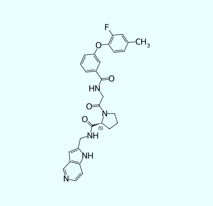 Cc1ccc(Oc2cccc(C(=O)NCC(=O)N3CCC[C@H]3C(=O)NCc3cc4cnccc4[nH]3)c2)c(F)c1